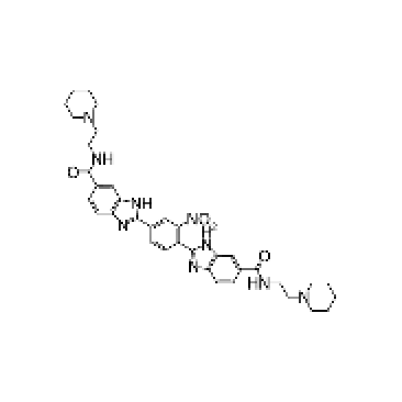 O=C(NCCN1CCCCC1)c1ccc2nc(-c3ccc(-c4nc5ccc(C(=O)NCCN6CCCCC6)cc5[nH]4)c([N+](=O)[O-])c3)[nH]c2c1